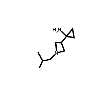 CC(C)CN1CC(C2(N)CC2)C1